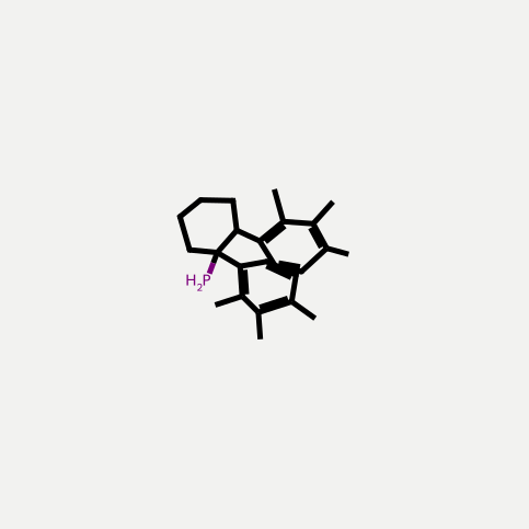 Cc1ccc(C2CCCCC2(P)c2ccc(C)c(C)c2C)c(C)c1C